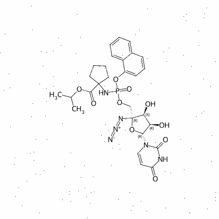 CC(C)OC(=O)C1(NP(=O)(OC[C@@]2(N=[N+]=[N-])O[C@@H](n3ccc(=O)[nH]c3=O)[C@H](O)[C@@H]2O)Oc2cccc3ccccc23)CCCC1